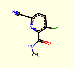 CNC(=O)c1nc(C#N)ccc1F